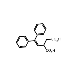 O=C(O)CC(C=C(c1ccccc1)c1ccccc1)C(=O)O